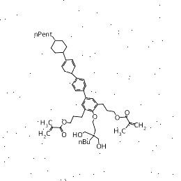 C=C(C)C(=O)OCCCc1cc(-c2ccc(C3C=CC(C4CCC(CCCCC)CC4)=CC3)cc2)cc(CCCOC(=O)C(=C)C)c1OCCC(CO)(CO)CCCC